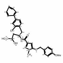 COc1ccc(COc2cc(C(=O)N[C@H](Cc3ccc(-c4ccccc4)cc3Cl)C[C@@H](O)C(=O)O)nn2C)cc1